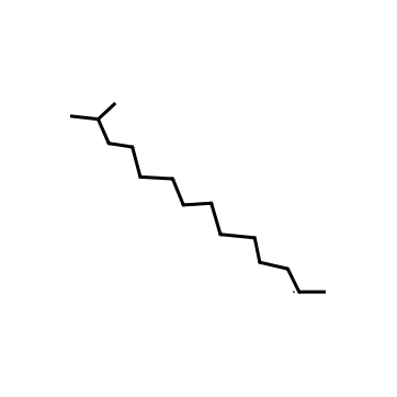 C[CH]CCCCCCCCCCC(C)C